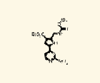 CCOC(=O)c1cc(-c2ccnc([AsH2])n2)[nH]c1CNC(=O)OC(C)(C)C